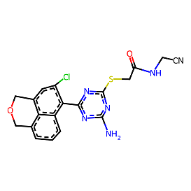 N#CCNC(=O)CSc1nc(N)nc(-c2c(Cl)cc3c4c(cccc24)COC3)n1